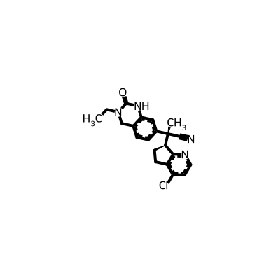 CCN1Cc2ccc([C@](C)(C#N)[C@@H]3CCc4c(Cl)ccnc43)cc2NC1=O